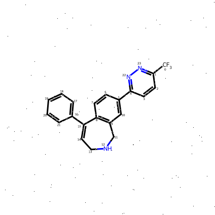 FC(F)(F)c1ccc(-c2ccc3c(c2)CNCC=C3c2ccccc2)nn1